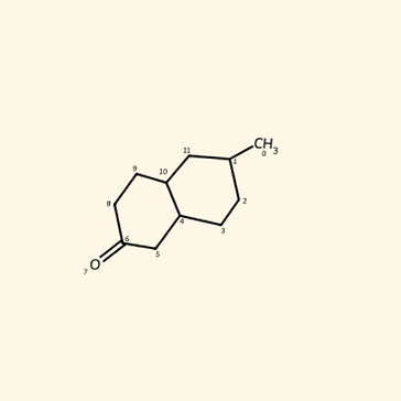 CC1CCC2CC(=O)CCC2C1